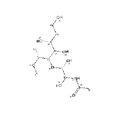 CO[C@H](C)C(O[C@H](O)C(O)NC(C)=O)C(O)[C@H](O)CCO